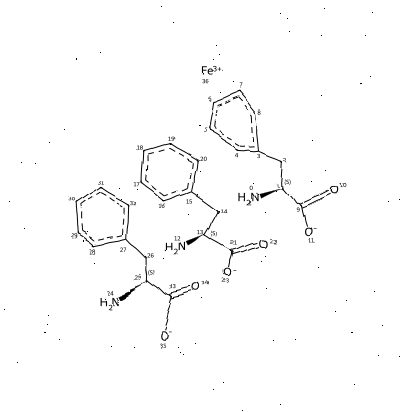 N[C@@H](Cc1ccccc1)C(=O)[O-].N[C@@H](Cc1ccccc1)C(=O)[O-].N[C@@H](Cc1ccccc1)C(=O)[O-].[Fe+3]